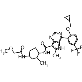 COCC(=O)NC1CCC(NC(=O)c2c(C)[nH]c3c(-c4cc(C(F)(F)F)ccc4OCC4CC4)ncnc23)C(C)C1